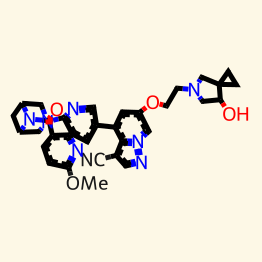 COc1ccc(C(=O)N2C3CC2CN(c2ccc(-c4cc(OCCN5CC(O)C6(CC6)C5)cn5ncc(C#N)c45)cn2)C3)cn1